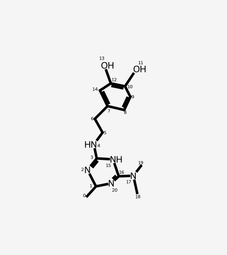 CC1N=C(NCCc2ccc(O)c(O)c2)NC(N(C)C)=N1